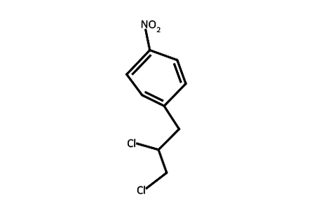 O=[N+]([O-])c1ccc(CC(Cl)CCl)cc1